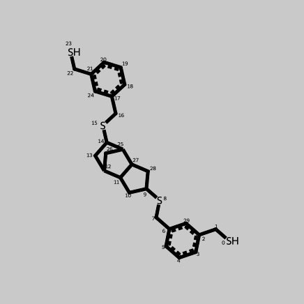 SCc1cccc(CSC2CC3C4CC(SCc5cccc(CS)c5)C(C4)C3C2)c1